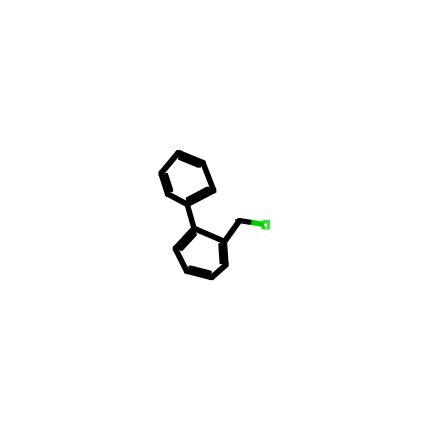 Cl[CH]c1ccccc1-c1ccccc1